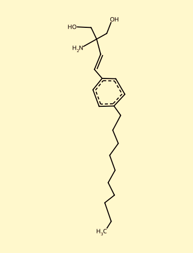 CCCCCCCCCCc1ccc(C=CC(N)(CO)CO)cc1